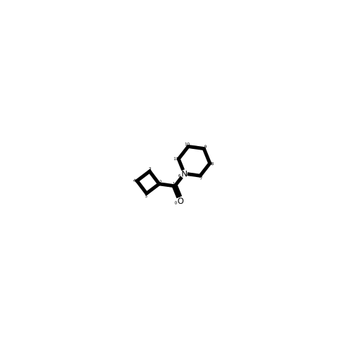 O=C(C1CCC1)N1CCCCC1